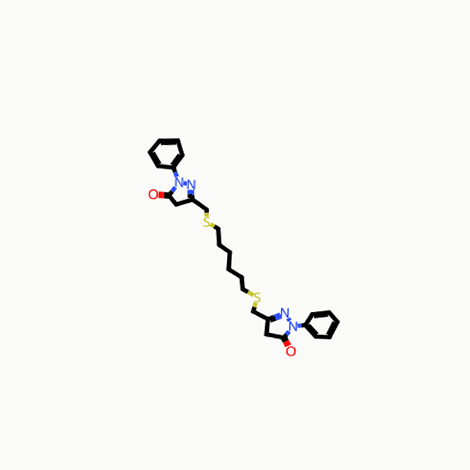 O=C1CC(CSCCCCCCSCC2=NN(c3ccccc3)C(=O)C2)=NN1c1ccccc1